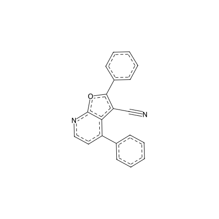 N#Cc1c(-c2ccccc2)oc2nccc(-c3ccccc3)c12